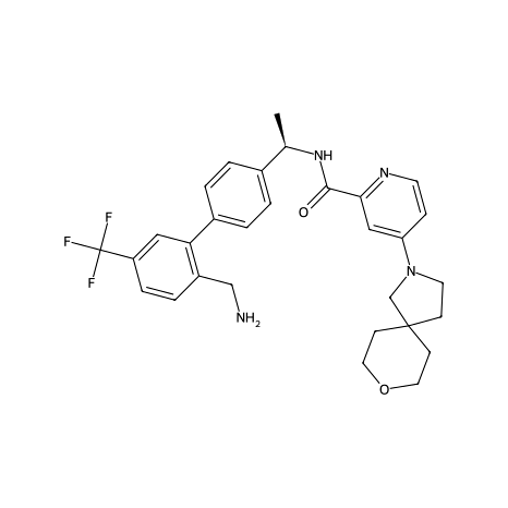 C[C@@H](NC(=O)c1cc(N2CCC3(CCOCC3)C2)ccn1)c1ccc(-c2cc(C(F)(F)F)ccc2CN)cc1